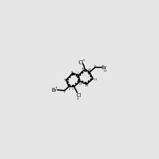 Clc1c(CBr)ccc2c(Cl)c(CBr)ccc12